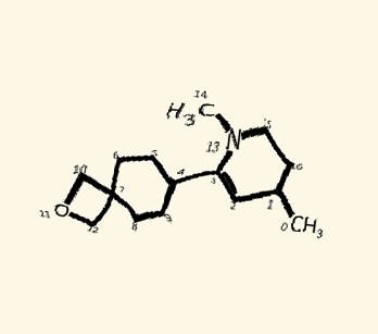 CC1C=C(C2CCC3(CC2)COC3)N(C)CC1